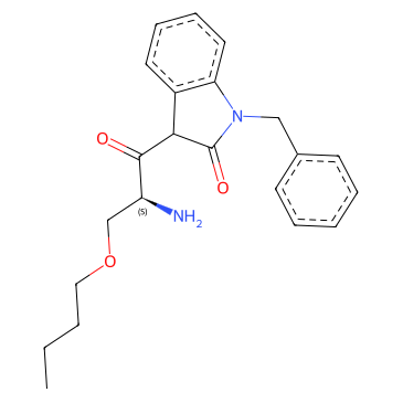 CCCCOC[C@H](N)C(=O)C1C(=O)N(Cc2ccccc2)c2ccccc21